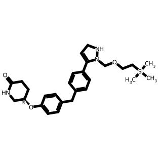 C[Si](C)(C)CCOCN1NCC=C1c1ccc(Cc2ccc(O[C@@H]3CCC(=O)NC3)cc2)cc1